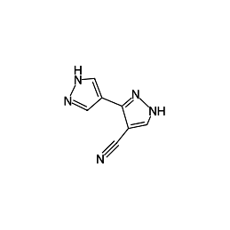 N#Cc1c[nH]nc1-c1cn[nH]c1